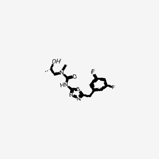 C[C@H](O)CN(C)C(=O)Nc1nnc(Cc2cc(F)cc(F)c2)s1